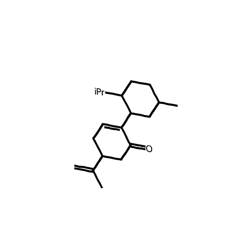 C=C(C)C1CC=C(C2CC(C)CCC2C(C)C)C(=O)C1